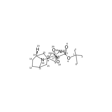 CC(C)(C)OC(=O)N1CC(N2C3CC[C@@H]2CC(S(N)(=O)=O)C3)C1